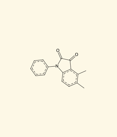 Cc1ccc2c(c1C)C(=O)C(=O)N2c1ccccc1